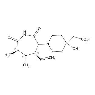 C=C[C@@H]1C(N2CCC(O)(CC(=O)O)CC2)C(=O)NC(=O)[C@H](C)[C@H]1C